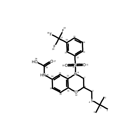 CC(C)(C)SCC1CN(S(=O)(=O)c2cccc(C(F)(F)F)c2)c2cc(NC(=O)O)ccc2O1